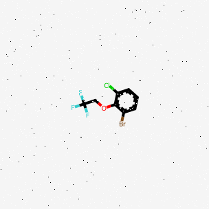 FC(F)(F)COc1c(Cl)cccc1Br